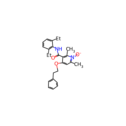 CCc1cccc(CC)c1NC(=O)c1c(OCCc2ccccc2)cc(C)[n+]([O-])c1C